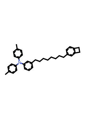 Cc1ccc(N(c2ccc(C)cc2)c2cccc(CCCCCCCCc3ccc4c(c3)CC4)c2)cc1